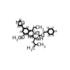 CCc1nc(C(CC(C)C)NC(=O)OCc2ccccc2)nc2c(OC)cc(-c3cnco3)cc12